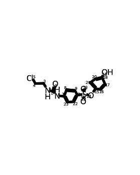 O=C(NCCCl)Nc1ccc(S(=O)(=O)Oc2ccc(O)cc2)cc1